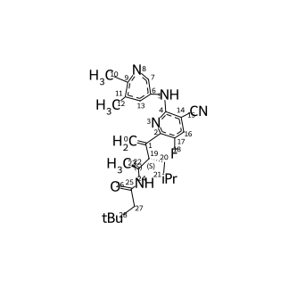 C=C(c1nc(Nc2cnc(C)c(C)c2)c(C#N)cc1F)[C@H](CC(C)C)[C@H](C)NC(=O)CC(C)(C)C